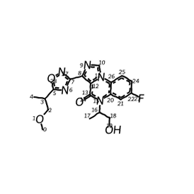 COCC(C)c1nc(-c2ncn3c2c(=O)n(C(C)CO)c2cc(F)ccc23)no1